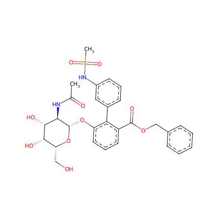 CC(=O)N[C@H]1[C@H](Oc2cccc(C(=O)OCc3ccccc3)c2-c2cccc(NS(C)(=O)=O)c2)O[C@H](CO)[C@H](O)[C@@H]1O